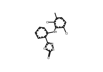 Cc1ccc(Cl)c(Nc2ccccc2-c2nsc(=O)o2)c1Cl